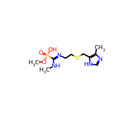 CN/C(=N\CCSCc1[nH]cnc1C)P(=O)(O)OC